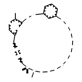 CN1CCCNCCOCCOCc2cccc(c2)NCc2nc(cnc2N)-c2ccc(cc2)S1(=O)=O